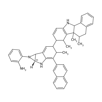 CC1C(c2ccc3ccccc3c2)=C2N[C@H]3C(C2=CC1C1C=CC2=C(C1C)C1(C)C(C)Cc4ccccc4C1N2)N3c1ccccc1N